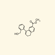 COC(=O)c1ccc2c(c1)C(c1ccccc1CO)=CCC2